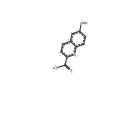 COc1ccc2nc(C(N)=O)c[c]c2c1